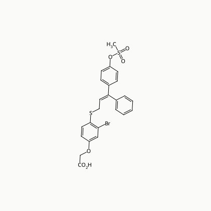 CS(=O)(=O)Oc1ccc(C(=CCSc2ccc(OCC(=O)O)cc2Br)c2ccccc2)cc1